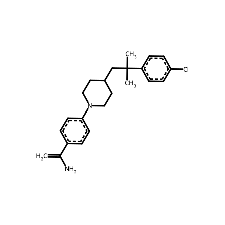 C=C(N)c1ccc(N2CCC(CC(C)(C)c3ccc(Cl)cc3)CC2)cc1